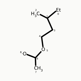 CCC(C)CCOC(C)[O]